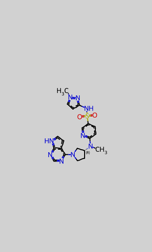 CN(c1ccc(S(=O)(=O)Nc2ccn(C)n2)cn1)[C@@H]1CCN(c2ncnc3[nH]ccc23)C1